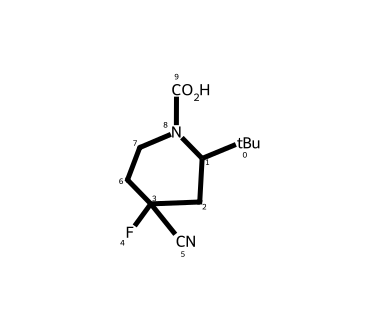 CC(C)(C)C1CC(F)(C#N)CCN1C(=O)O